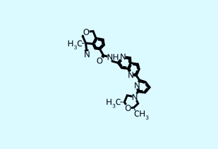 C[C@@H]1CN(c2cccc(-c3ccc4cnc(CNC(=O)c5ccc6c(c5)[C@@](C)(C#N)COC6)cc4n3)n2)C[C@H](C)O1